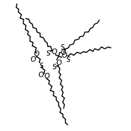 CCCCCCCCCCCCCCC(=S)OCC(COC(=S)CCCCCCCCCCCCCC)(COC(=S)CCCCCCCCCCCCCC)COC(=S)CCCCCCCCCCCCCC.CCCCCCCCCCCCCCCCCCOC(=O)CCSCCC(=O)OCCCCCCCCCCCCCCCCCC